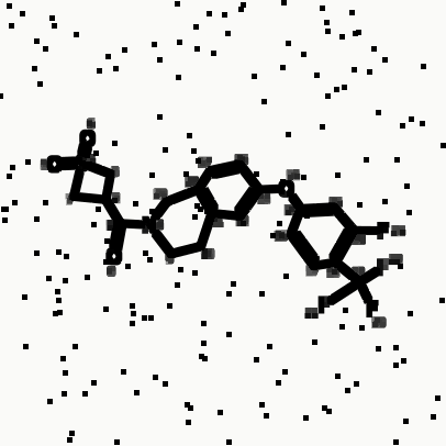 O=C(C1CS(=O)(=O)C1)N1CCc2cc(Oc3ccc(C(F)(F)F)c(F)c3)ccc2C1